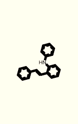 C(=Cc1ccccc1Nc1ccccc1)c1ccccc1